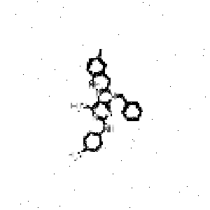 Cc1ccc(N)c(Cc2nc3c(N)nc(NC4CCC(N)CC4)nc3n2Cc2ccccc2)c1